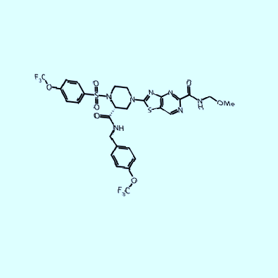 COCNC(=O)c1ncc2sc(N3CCN(S(=O)(=O)c4ccc(OC(F)(F)F)cc4)[C@@H](C(=O)NCc4ccc(OC(F)(F)F)cc4)C3)nc2n1